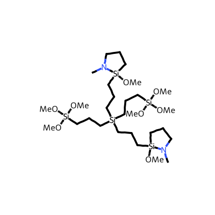 CO[Si](CCC[Si](CCC[Si](OC)(OC)OC)(CCC[Si]1(OC)CCCN1C)CCC[Si]1(OC)CCCN1C)(OC)OC